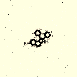 Brc1ccc2c(ccc3[nH]c(-c4ccccc4)c(-c4ccccc4)c32)c1